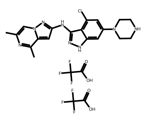 Cc1cn2nc(Nc3n[nH]c4cc(N5CCNCC5)cc(Cl)c34)cc2c(C)n1.O=C(O)C(F)(F)F.O=C(O)C(F)(F)F